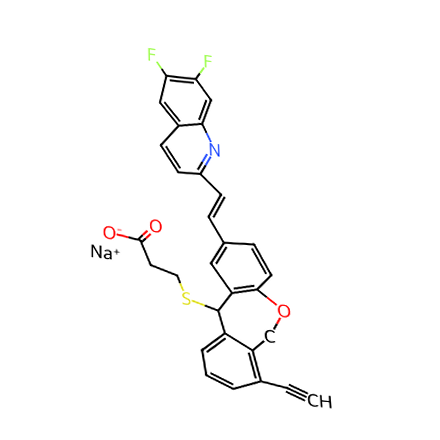 C#Cc1cccc2c1COc1ccc(C=Cc3ccc4cc(F)c(F)cc4n3)cc1C2SCCC(=O)[O-].[Na+]